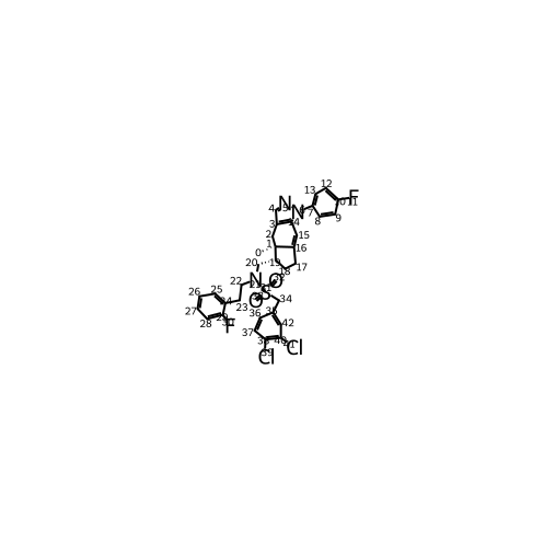 C[C@]12Cc3cnn(-c4ccc(F)cc4)c3C=C1CC[C@@H]2CN(CCc1ccccc1F)S(=O)(=O)Cc1ccc(Cl)c(Cl)c1